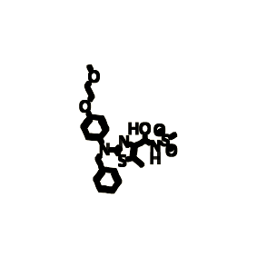 COCCOc1ccc(N(Cc2ccccc2)c2nc(C(O)NS(C)(=O)=O)c(C)s2)cc1